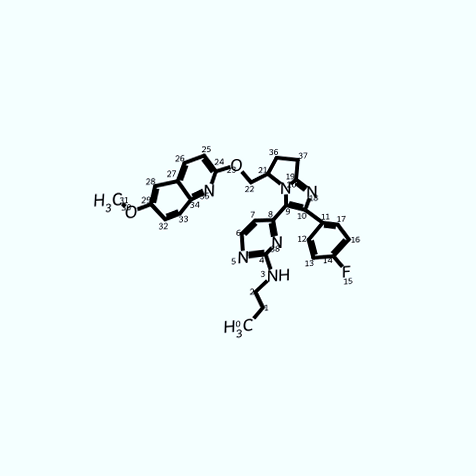 CCCNc1nccc(-c2c(-c3ccc(F)cc3)nc3n2C(COc2ccc4cc(OC)ccc4n2)CC3)n1